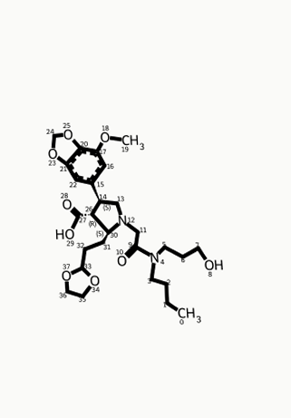 CCCCN(CCCO)C(=O)CN1C[C@H](c2cc(OC)c3c(c2)OCO3)[C@@H](C(=O)O)[C@@H]1CCC1OCCO1